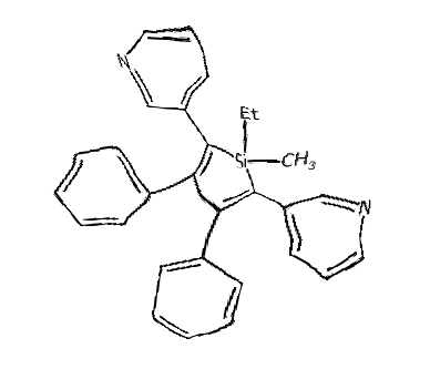 CC[Si]1(C)C(c2cccnc2)=C(c2ccccc2)C(c2ccccc2)=C1c1cccnc1